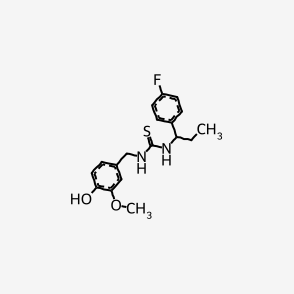 CCC(NC(=S)NCc1ccc(O)c(OC)c1)c1ccc(F)cc1